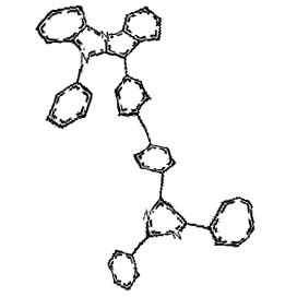 c1ccc(-c2cc(-c3ccc(-c4ccc(-c5c6ccccc6n6c7ccccc7n(-c7ccccc7)c56)cc4)cc3)nc(-c3ccccc3)n2)cc1